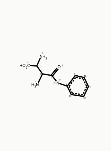 NC(C(=O)O)C(N)C(=O)Nc1ccccc1